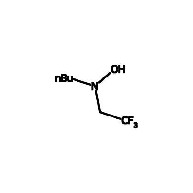 CCCCN(O)CC(F)(F)F